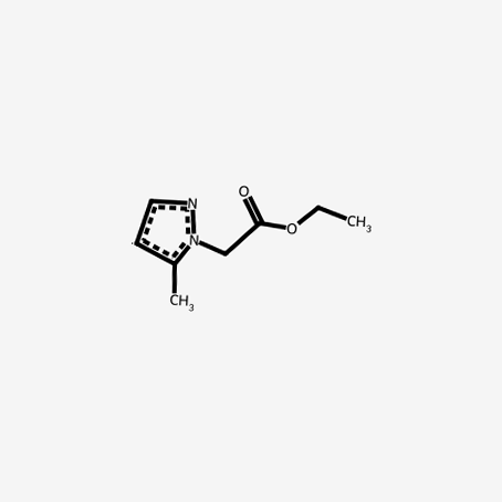 CCOC(=O)Cn1nc[c]c1C